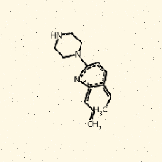 C=C/C=c1/nc(N2CCNCC2)cc/c1=C/C